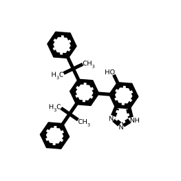 CC(C)(c1ccccc1)c1cc(-c2c(O)ccc3[nH]nnc23)cc(C(C)(C)c2ccccc2)c1